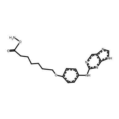 NOC(=O)CCCCCCOc1ccc(Nc2ncc3nc[nH]c3n2)cc1